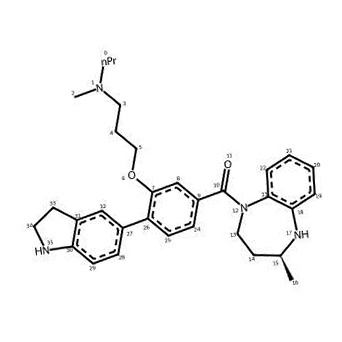 CCCN(C)CCCOc1cc(C(=O)N2CC[C@H](C)Nc3ccccc32)ccc1-c1ccc2c(c1)CCN2